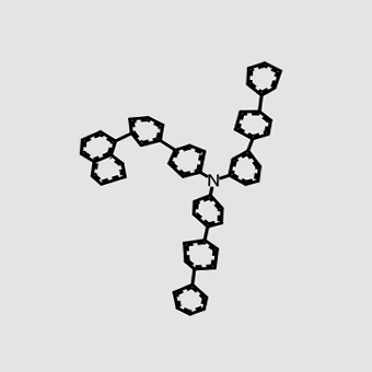 c1ccc(-c2ccc(-c3ccc(N(c4ccc(-c5cccc(-c6cccc7ccccc67)c5)cc4)c4cccc(-c5ccc(-c6ccccc6)cc5)c4)cc3)cc2)cc1